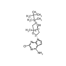 CC(C)(C)[Si](C)(C)OC[C@@]1(C)O[C@@H](n2ccc3c(N)nc(Cl)nc32)C[C@@H]1O